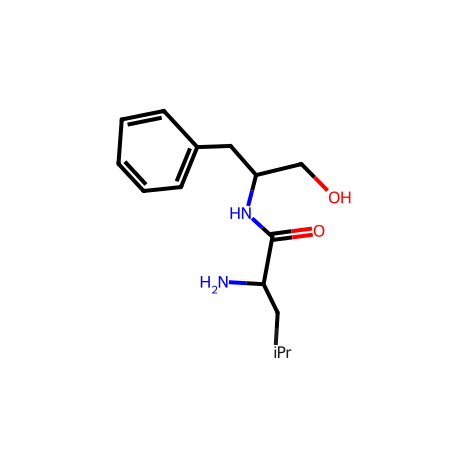 CC(C)CC(N)C(=O)NC(CO)Cc1ccccc1